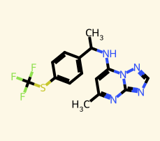 Cc1cc(NC(C)c2ccc(SC(F)(F)F)cc2)n2ncnc2n1